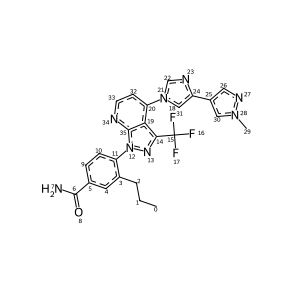 CCCc1cc(C(N)=O)ccc1-n1nc(C(F)(F)F)c2c(-n3cnc(-c4cnn(C)c4)c3)ccnc21